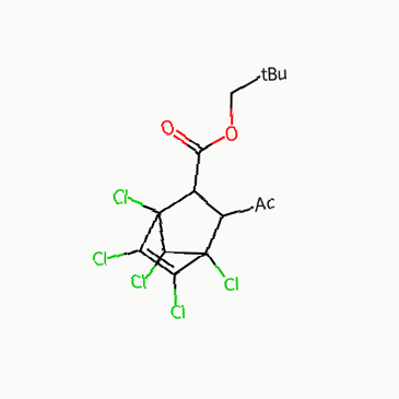 CC(=O)C1C(C(=O)OCC(C)(C)C)C2(Cl)C(Cl)=C(Cl)C1(Cl)C2Cl